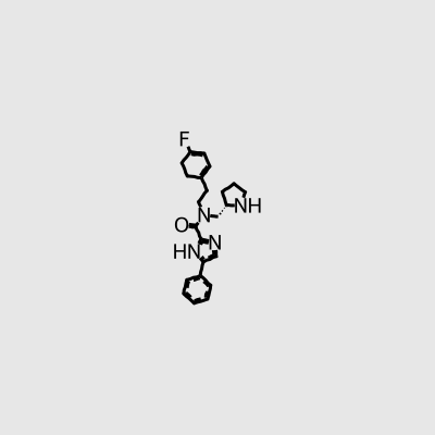 O=C(c1ncc(-c2ccccc2)[nH]1)N(CCC1=CC=C(F)CC1)C[C@@H]1CCCN1